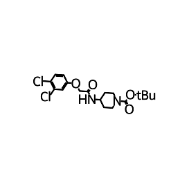 CC(C)(C)OC(=O)N1CCC(NC(=O)COc2ccc(Cl)c(Cl)c2)CC1